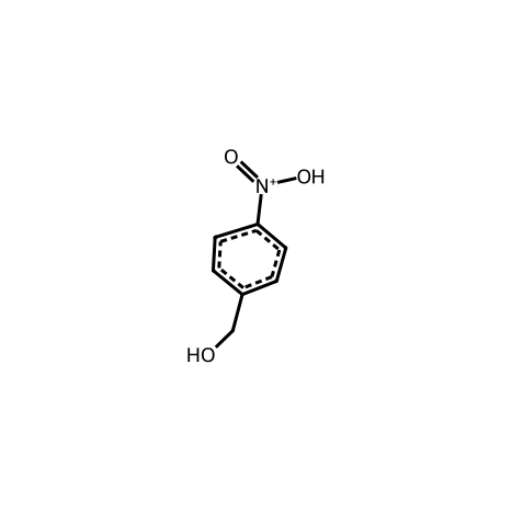 O=[N+](O)c1ccc(CO)cc1